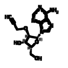 C#CCO[C@@H]1[C@@H](O)[C@@H](CO)O[C@H]1n1cnc2c(N)ncnc21